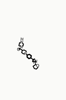 O=C(C1CCN(c2ccc(-c3cnn(C4CCCCO4)c3)cc2)CC1)N1CCNCC1